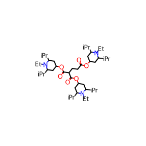 CCN1C(C(C)C)CC(OC(=O)CCC(C(=O)OC2CC(C(C)C)N(CC)C(C(C)C)C2)C(=O)OC2CC(C(C)C)N(CC)C(C(C)C)C2)CC1C(C)C